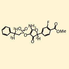 [2H]C([2H])(CS(=O)(=O)OC1=C(N)OC([2H])(c2ccc(C(=O)OC)c(F)c2)C1=O)c1ccccc1